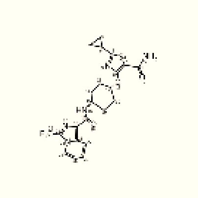 NC(=O)c1sc(C2CC2)nc1O[C@H]1CC[C@H](NC(=O)c2nc(C(F)(F)F)n3ccccc23)CC1